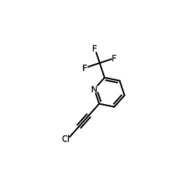 FC(F)(F)c1cccc(C#CCl)n1